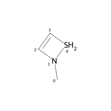 CN1C=C[SH2]1